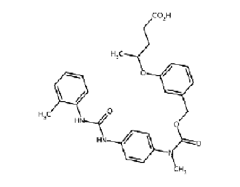 Cc1ccccc1NC(=O)Nc1ccc(N(C)C(=O)OCc2cccc(OC(C)CCC(=O)O)c2)cc1